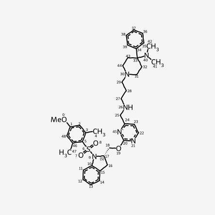 COc1cc(C)c(S(=O)(=O)N2c3ccccc3C[C@H]2COc2nccc(CNCCCN3CCC(c4ccccc4)(N(C)C)CC3)n2)c(C)c1